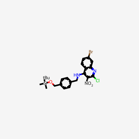 CC(C)(C)[Si](C)(C)OCc1ccc(CNc2c([N+](=O)[O-])c(Cl)nc3cc(Br)ccc23)cc1